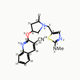 CNc1ncc(CN2CC(Oc3nc4ccccc4cc3C#N)CC2C)s1